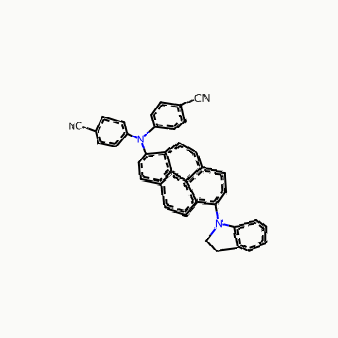 N#Cc1ccc(N(c2ccc(C#N)cc2)c2ccc3ccc4c(N5CCc6ccccc65)ccc5ccc2c3c54)cc1